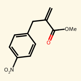 C=C(Cc1ccc([N+](=O)[O-])cc1)C(=O)OC